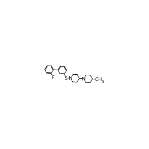 CC1CCN(C2CCN(Sc3cccc(-c4ccccc4F)c3)CC2)CC1